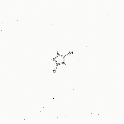 Sc1nsc(Cl)n1